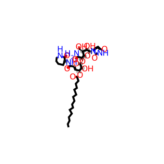 CCCCCCCCCCCCCCCC(=O)O[C@H]1C=C(C(=O)N[C@H]2CCCCNC2=O)O[C@H](O[C@@H](C(N)=O)[C@H]2O[C@@H](n3ccc(=O)[nH]c3=O)[C@H](O)[C@@H]2CO)[C@H]1O